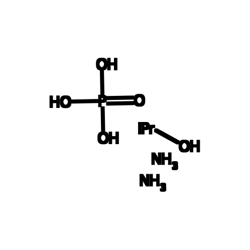 CC(C)O.N.N.O=P(O)(O)O